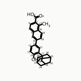 Cc1c(C(=O)O)ccc2cc(-c3ccc(O)c(C45CC6CC(CC(C6)C4)C5)c3)ccc12